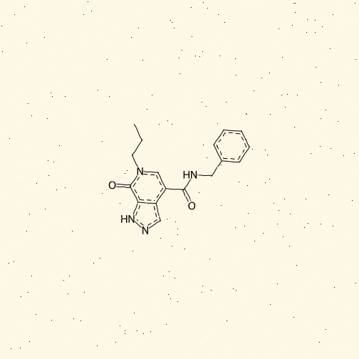 CCCn1cc(C(=O)NCc2ccccc2)c2cn[nH]c2c1=O